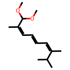 COC(OC)C(C)=C/C=C/C=C(C)C(C)C